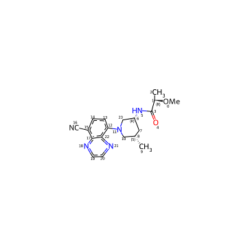 CO[C@H](C)C(=O)N[C@@H]1C[C@H](C)CN(c2ccc(C#N)c3nccnc23)C1